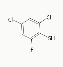 Fc1cc(Cl)cc(Cl)c1S